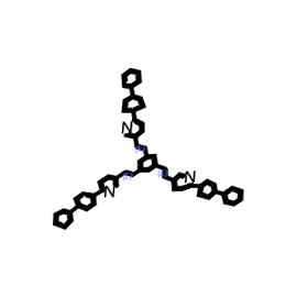 C(=C\c1cc(/C=C/c2ccc(-c3ccc(-c4ccccc4)cc3)nc2)cc(/C=C/c2ccc(-c3ccc(-c4ccccc4)cc3)nc2)c1)/c1ccc(-c2ccc(-c3ccccc3)cc2)nc1